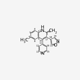 C=C1Nc2ccc(C)cc2C(c2ccncc2)=C1c1cnoc1